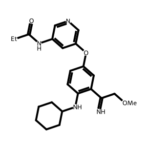 CCC(=O)Nc1cncc(Oc2ccc(NC3CCCCC3)c(C(=N)COC)c2)c1